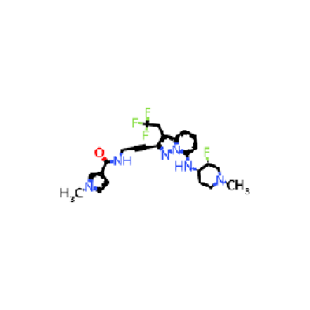 CN1CC[C@@H](Nc2cccc3c(CC(F)(F)F)c(C#CCNC(=O)c4ccn(C)c4)nn23)[C@@H](F)C1